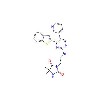 CC1(C)NC(=O)N(CCNc2ncc(-c3cccnc3)c(-c3cc4ccccc4s3)n2)C1=O